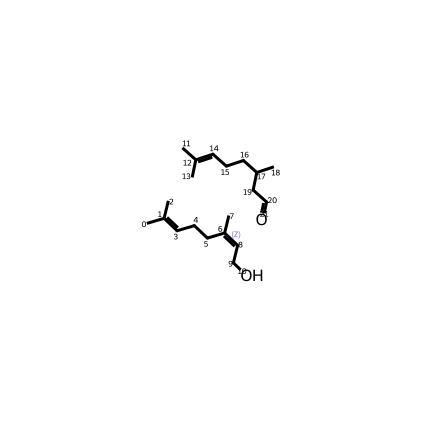 CC(C)=CCC/C(C)=C\CO.CC(C)=CCCC(C)CC=O